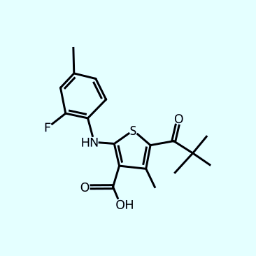 Cc1ccc(Nc2sc(C(=O)C(C)(C)C)c(C)c2C(=O)O)c(F)c1